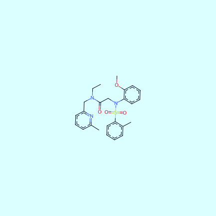 CCN(Cc1cccc(C)n1)C(=O)CN(c1ccccc1OC)S(=O)(=O)c1ccccc1C